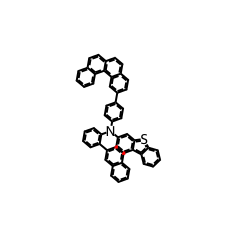 c1ccc(N(c2ccc(-c3ccc4ccc5ccc6ccccc6c5c4c3)cc2)c2ccc3c(c2)sc2ccccc23)c(-c2ccc3ccccc3c2)c1